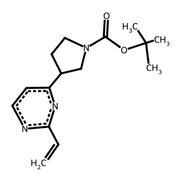 C=Cc1nccc(C2CCN(C(=O)OC(C)(C)C)C2)n1